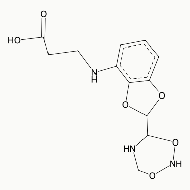 O=C(O)CCNc1cccc2c1OC(C1NCONO1)O2